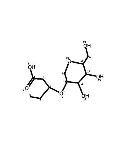 CCC(CC(=O)O)OC1COC(CO)C(O)C1O